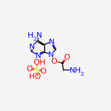 NCC(=O)On1cnc2c(N)ncnc21.O=S(=O)(O)O